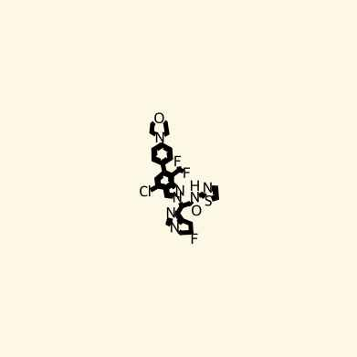 O=C(Nc1nccs1)C(c1ncn2c1C[C@@H](F)C2)n1cc2c(Cl)cc(-c3ccc(N4CCOCC4)cc3)c(C(F)F)c2n1